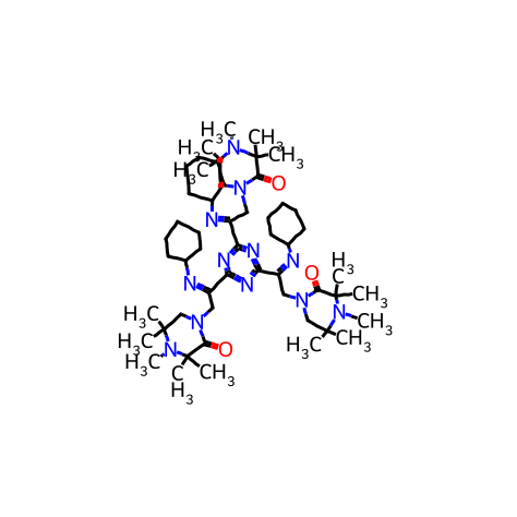 CN1C(C)(C)CN(CC(=NC2CCCCC2)c2nc(C(CN3CC(C)(C)N(C)C(C)(C)C3=O)=NC3CCCCC3)nc(C(CN3CC(C)(C)N(C)C(C)(C)C3=O)=NC3CCCCC3)n2)C(=O)C1(C)C